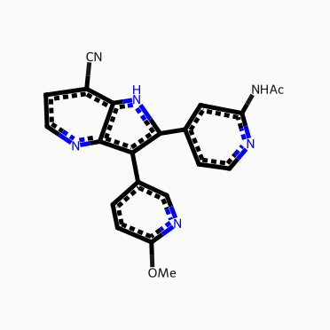 COc1ccc(-c2c(-c3ccnc(NC(C)=O)c3)[nH]c3c(C#N)ccnc23)cn1